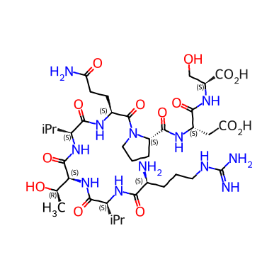 CC(C)[C@H](NC(=O)[C@@H](NC(=O)[C@@H](NC(=O)[C@@H](N)CCCNC(=N)N)C(C)C)[C@@H](C)O)C(=O)N[C@@H](CCC(N)=O)C(=O)N1CCC[C@H]1C(=O)N[C@@H](CC(=O)O)C(=O)N[C@@H](CO)C(=O)O